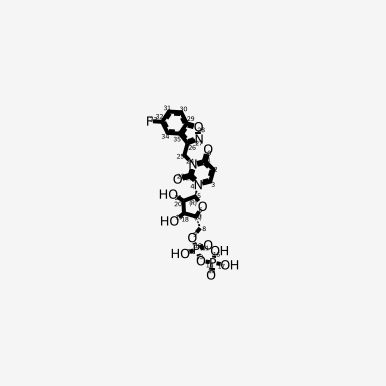 O=c1ccn([C@@H]2O[C@H](COP(=O)(O)OP(=O)(O)O)C(O)C2O)c(=O)n1Cc1noc2ccc(F)cc12